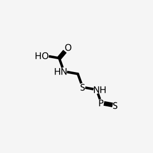 O=C(O)NCSNP=S